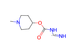 CN1CCC(OC(=O)N[C]=N)CC1